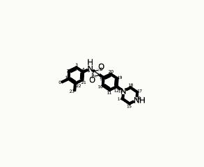 Cc1ccc(NS(=O)(=O)c2ccc(N3CCNCC3)cc2)cc1C